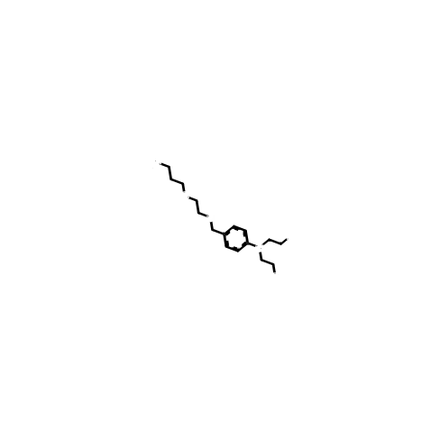 NCCCOCCNCc1ccc(N(CCCl)CCCl)cc1